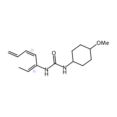 C=C/C=C\C(=C/C)NC(=O)NC1CCC(OC)CC1